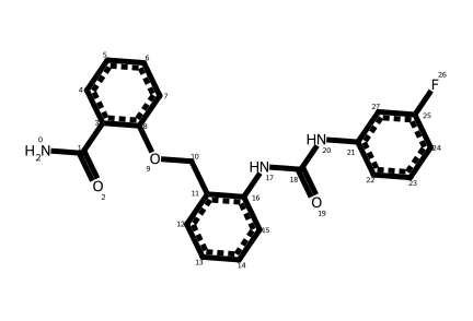 NC(=O)c1ccccc1OCc1ccccc1NC(=O)Nc1cccc(F)c1